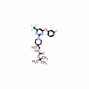 CC(C)(C)OC(=O)NCC1(O)CCN(c2nc(Oc3cccc(F)c3)cc(C(F)(F)F)n2)CC1